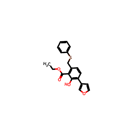 CCOC(=O)c1c(CSc2ccccc2)ccc(-c2ccoc2)c1O